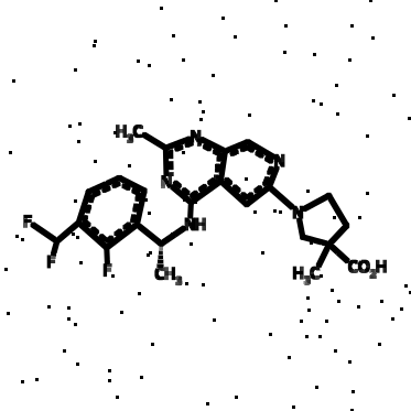 Cc1nc(N[C@H](C)c2cccc(C(F)F)c2F)c2cc(N3CCC(C)(C(=O)O)C3)ncc2n1